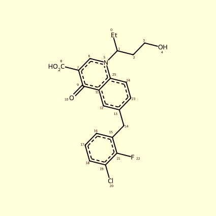 CCC(CCO)n1cc(C(=O)O)c(=O)c2cc(Cc3cccc(Cl)c3F)ccc21